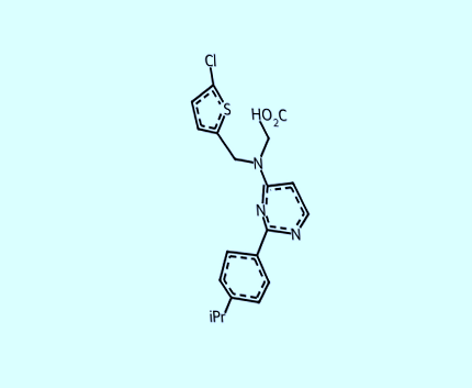 CC(C)c1ccc(-c2nccc(N(CC(=O)O)Cc3ccc(Cl)s3)n2)cc1